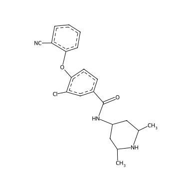 CC1CC(NC(=O)c2ccc(Oc3ccccc3C#N)c(Cl)c2)CC(C)N1